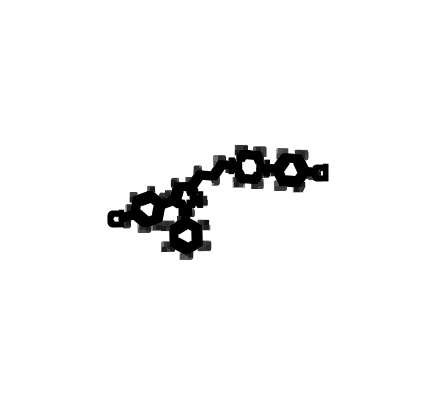 Clc1ccc(-c2cc(CCCN3CCN(c4ccc(Cl)cc4)CC3)nn2-c2ccccc2)cc1